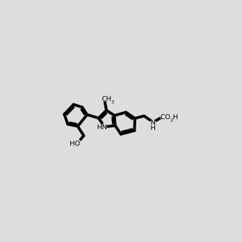 Cc1c(-c2ccccc2CO)[nH]c2ccc(CNC(=O)O)cc12